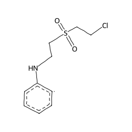 O=S(=O)(CCCl)CCNc1[c]cccc1